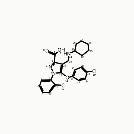 O=C(O)c1nn(-c2ccccc2Cl)c(Oc2ccc(Cl)cc2)c1CNC1CCCCC1